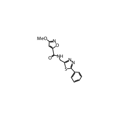 COc1cc(C(=O)NCc2nnc(-c3ccccc3)s2)on1